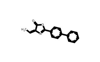 C/C=C1/N=C(c2ccc(-c3ccccc3)cc2)OC1=O